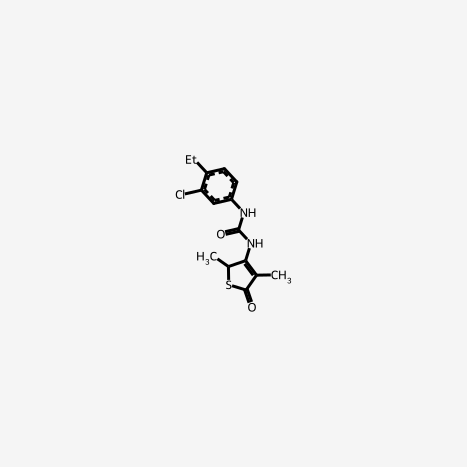 CCc1ccc(NC(=O)NC2=C(C)C(=O)SC2C)cc1Cl